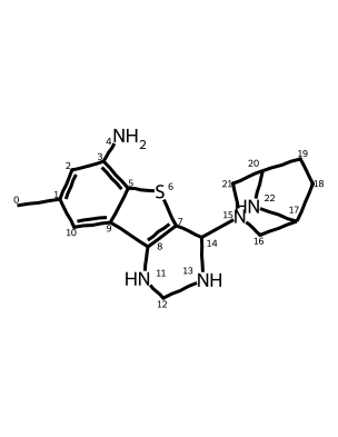 Cc1cc(N)c2sc3c(c2c1)NCNC3N1CC2CCC(C1)N2